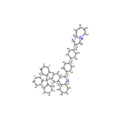 c1ccc(C2(c3ccccc3)c3ccccc3-c3c2ccc2c(-c4ccc(-c5ccc(-c6cn7ccccc7n6)cc5)cc4)nc4ccccc4c32)cc1